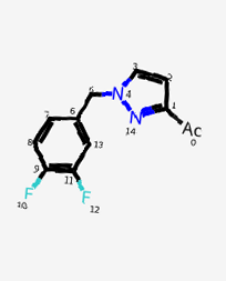 CC(=O)c1ccn(Cc2ccc(F)c(F)c2)n1